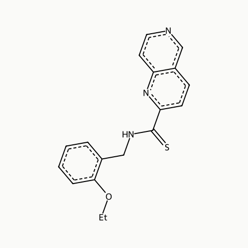 CCOc1ccccc1CNC(=S)c1ccc2cnccc2n1